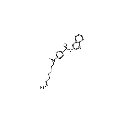 CCC=CCCCCCN(C)c1ccc(C(=O)Nc2cnc3ccccc3c2)cc1